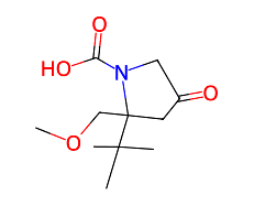 COCC1(C(C)(C)C)CC(=O)CN1C(=O)O